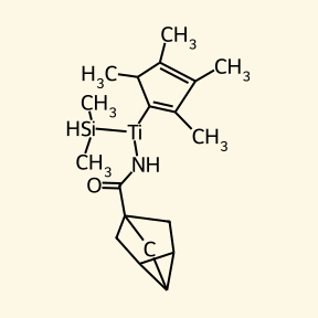 CC1=C(C)C(C)[C]([Ti]([NH]C(=O)C23CC4C(C2)C4C3)[SiH](C)C)=C1C